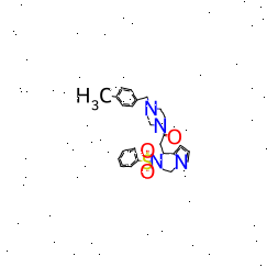 Cc1ccc(CN2CCN(C(=O)CC3c4cccn4CCN3S(=O)(=O)c3ccccc3)CC2)cc1